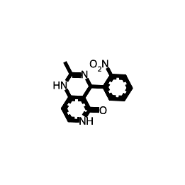 CC1=NC(c2ccccc2[N+](=O)[O-])c2c(cc[nH]c2=O)N1